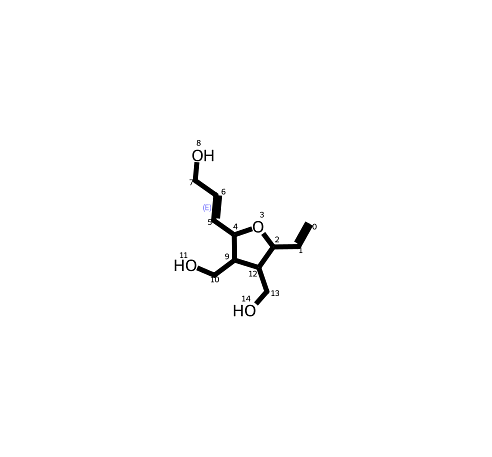 C=CC1OC(/C=C/CO)C(CO)C1CO